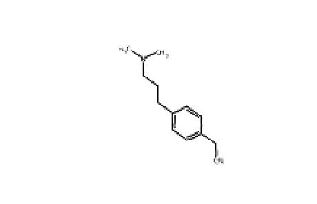 CN(C)CCCc1ccc(CC#N)cc1